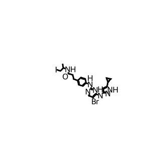 CC(CI)NC(=O)CCc1ccc(Nc2ncc(Br)c(Nc3cc(C4CC4)[nH]n3)n2)cc1